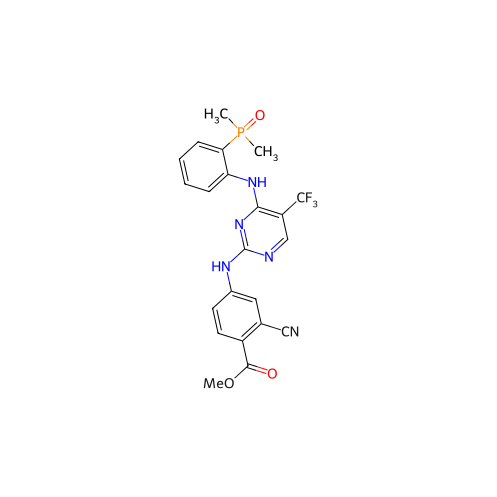 COC(=O)c1ccc(Nc2ncc(C(F)(F)F)c(Nc3ccccc3P(C)(C)=O)n2)cc1C#N